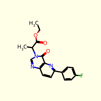 CCOC(=O)C(C)n1cnc2ccc(-c3ccc(F)cc3)nc2c1=O